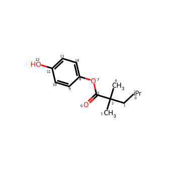 CC(C)CC(C)(C)C(=O)Oc1ccc(O)cc1